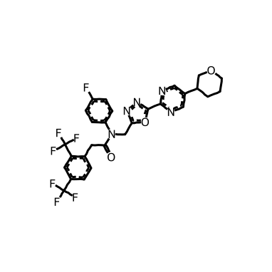 O=C(Cc1ccc(C(F)(F)F)cc1C(F)(F)F)N(Cc1nnc(-c2ncc(C3CCCOC3)cn2)o1)c1ccc(F)cc1